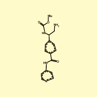 CC(C)(C)OC(=O)NC(CN)c1ccc(C(=O)Nc2ccncc2)cc1